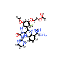 CCOc1cc(OCCOC(C)=O)c(F)c(C(Nc2ccccc2C(=N)N)c2nn(-c3ncccn3)c(=O)[nH]2)c1